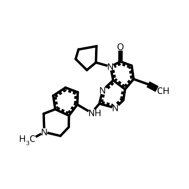 C#Cc1cc(=O)n(C2CCCC2)c2nc(Nc3cccc4c3CCN(C)C4)ncc12